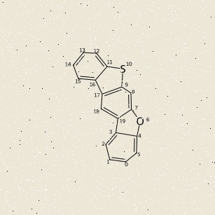 c1ccc2c(c1)oc1cc3sc4ccccc4c3cc12